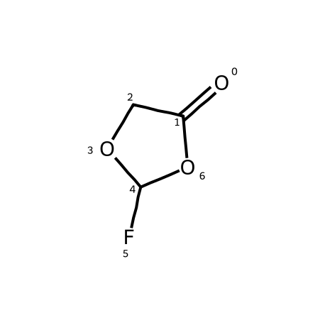 O=C1COC(F)O1